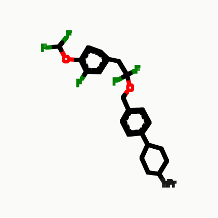 CCCC1CCC(c2ccc(COC(F)(F)Cc3ccc(OC(F)F)c(F)c3)cc2)CC1